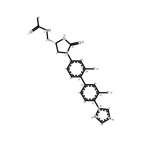 CC(=O)NC[C@H]1CN(c2ccc(-c3ccc(-n4cncn4)c(F)c3)c(F)c2)C(=O)O1